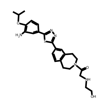 CC(C)Oc1ccc(-c2nnc(-c3ccc4c(c3)CCN(C(=O)CNCCO)CC4)s2)cc1N